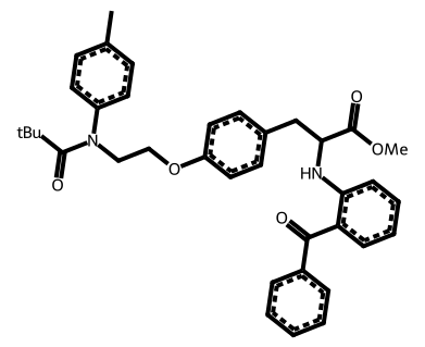 COC(=O)C(Cc1ccc(OCCN(C(=O)C(C)(C)C)c2ccc(C)cc2)cc1)Nc1ccccc1C(=O)c1ccccc1